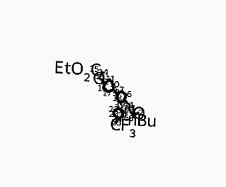 CCCCC(=O)N(Cc1ccc(-c2ccc(OCC(=O)OCC)cc2)cc1)c1cccc(C(F)(F)F)c1